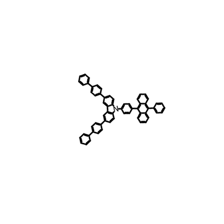 c1ccc(-c2ccc(-c3ccc4c(c3)c3cc(-c5ccc(-c6ccccc6)cc5)ccc3n4-c3ccc(-c4c5ccccc5c(-c5ccccc5)c5ccccc45)cc3)cc2)cc1